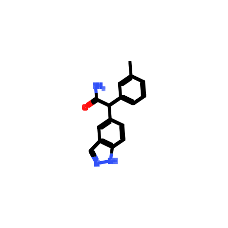 Cc1cccc(C(C(N)=O)c2ccc3[nH]ncc3c2)c1